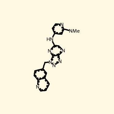 CNc1cc(Nc2cnc3nnn(Cc4ccc5ncccc5c4)c3n2)ccn1